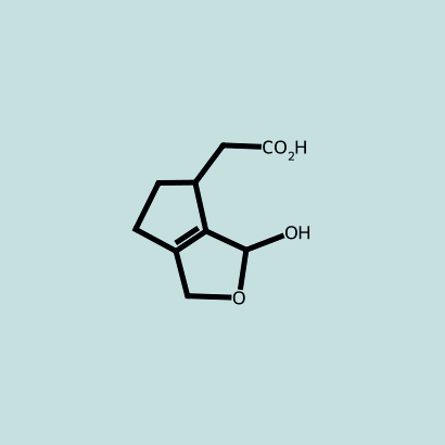 O=C(O)CC1CCC2=C1C(O)OC2